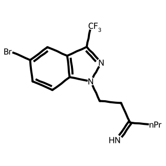 CCCC(=N)CCn1nc(C(F)(F)F)c2cc(Br)ccc21